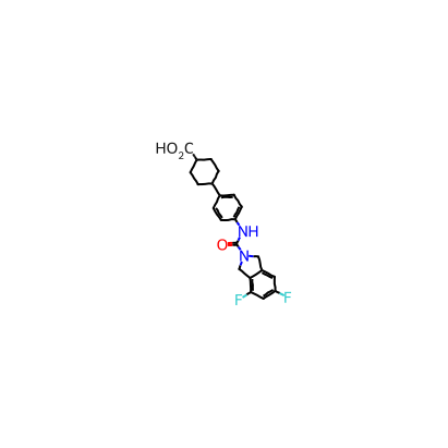 O=C(O)C1CCC(c2ccc(NC(=O)N3Cc4cc(F)cc(F)c4C3)cc2)CC1